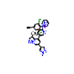 C#Cc1cc(F)c(CN2C3CC2CN(c2ccc(-c4cc(-c5cnn(C)c5)cn5ncc(C#N)c45)cn2)C3)c(F)c1